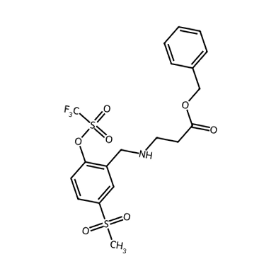 CS(=O)(=O)c1ccc(OS(=O)(=O)C(F)(F)F)c(CNCCC(=O)OCc2ccccc2)c1